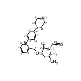 CC(C)CC(OCc1ccccc1-c1ccc(N2CCNCC2)cc1)C(=O)NCC#N